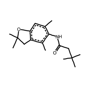 Cc1cc2c(c(C)c1NC(=O)CC(C)(C)C)CC(C)(C)O2